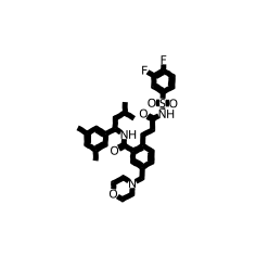 Cc1cc(C)cc(C(CC(C)C)NC(=O)c2cc(CN3CCOCC3)ccc2CCC(=O)NS(=O)(=O)c2ccc(F)c(F)c2)c1